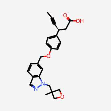 CC#C[C@@H](CC(=O)O)c1ccc(OCc2ccc3cnn(CC4(C)COC4)c3c2)cc1